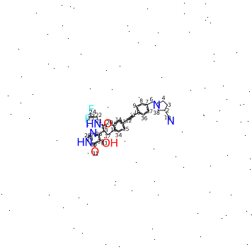 N#CC1CCN(Cc2ccc(C#Cc3ccc(CC(C(=O)NCC(F)F)c4nc[nH]c(=O)c4O)cc3)cc2)C1